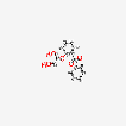 O=C(Oc1ccccc1)c1ccccc1OC(O)CO